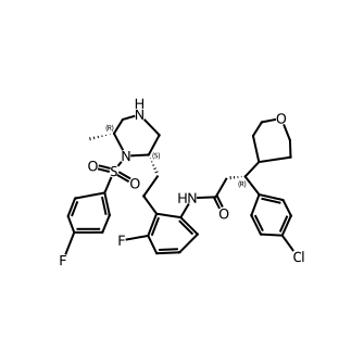 C[C@@H]1CNC[C@H](CCc2c(F)cccc2NC(=O)C[C@@H](c2ccc(Cl)cc2)C2CCOCC2)N1S(=O)(=O)c1ccc(F)cc1